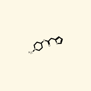 CN1CCC(OC(=O)Cc2cccs2)CC1